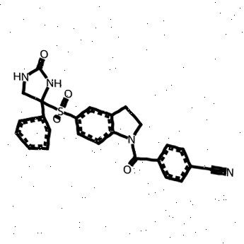 N#Cc1ccc(C(=O)N2CCc3cc(S(=O)(=O)C4(c5ccccc5)CNC(=O)N4)ccc32)cc1